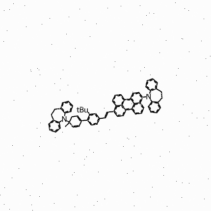 CC(C)(C)c1cc(/C=C/c2ccc3c4cccc5c(N6c7ccccc7CCc7ccccc76)ccc(c6cccc2c36)c54)ccc1C1=CCC(C)(N2c3ccccc3CCc3ccccc32)C=C1